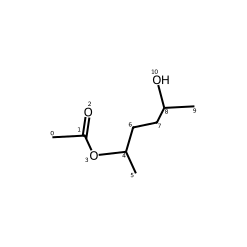 CC(=O)OC(C)CCC(C)O